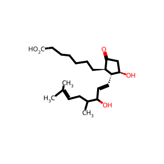 CC(C)=CCC(C)C(O)C=C[C@H]1[C@H](O)CC(=O)[C@@H]1CCCCCCC(=O)O